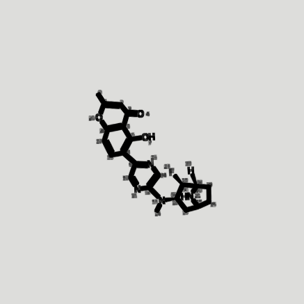 Cc1cc(=O)c2c(O)c(-c3cnc(N(C)[C@@H]4CC5CC[C@H](N5)[C@@H]4F)cn3)ccc2o1